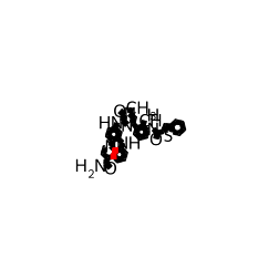 Cc1c(NC(=O)c2cc3c(s2)CCCC3)cccc1-c1cn(C)c(=O)c(Nc2ccc(N3CCC(C(N)=O)CC3)c(Nc3ccccc3)c2)n1